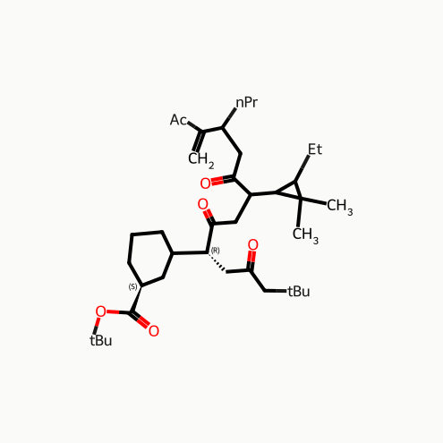 C=C(C(C)=O)C(CCC)CC(=O)C(CC(=O)[C@H](CC(=O)CC(C)(C)C)C1CCC[C@H](C(=O)OC(C)(C)C)C1)C1C(CC)C1(C)C